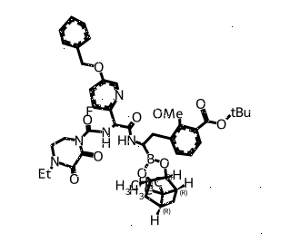 CCN1CCN(C(=O)NC(C(=O)NC(Cc2cccc(C(=O)OC(C)(C)C)c2OC)B2O[C@@H]3[C@@H]4C[C@H](C[C@]3(C)O2)C4(C)C)c2ncc(OCc3ccccc3)cc2F)C(=O)C1=O